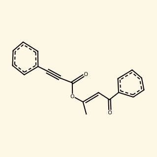 C/C(=C\C(=O)c1ccccc1)OC(=O)C#Cc1ccccc1